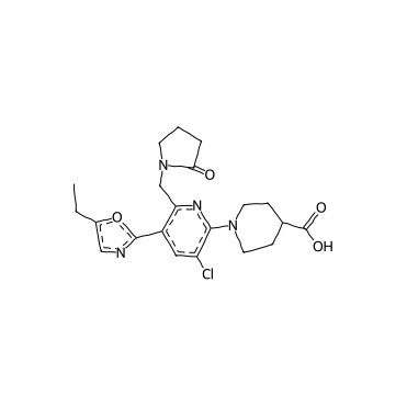 CCc1cnc(-c2cc(Cl)c(N3CCC(C(=O)O)CC3)nc2CN2CCCC2=O)o1